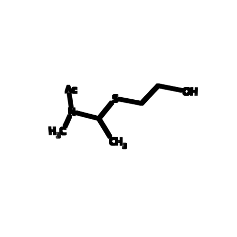 CC(=O)N(C)C(C)SCCO